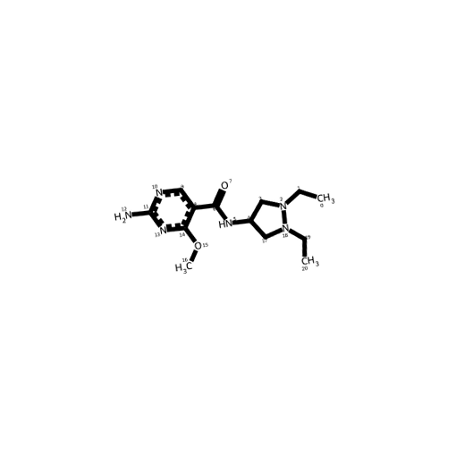 CCN1CC(NC(=O)c2cnc(N)nc2OC)CN1CC